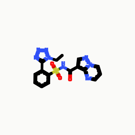 CCn1nnnc1-c1ccccc1S(=O)(=O)NC(=O)c1cnn2cccnc12